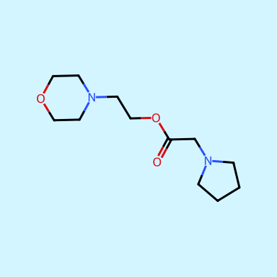 O=C(CN1CCCC1)OCCN1CCOCC1